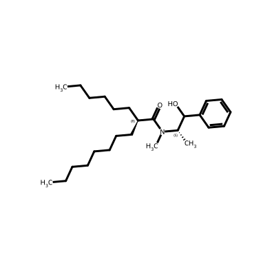 CCCCCCCC[C@@H](CCCCCC)C(=O)N(C)[C@@H](C)C(O)c1ccccc1